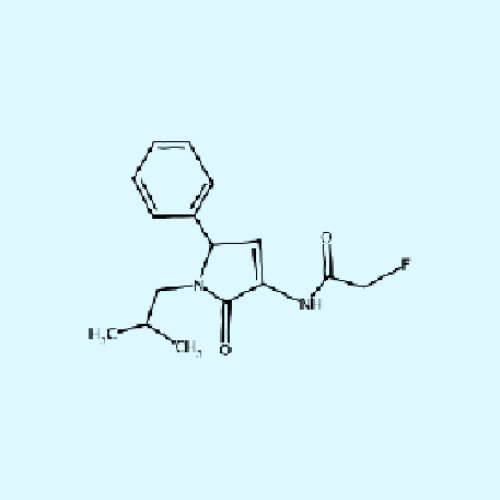 CC(C)CN1C(=O)C(NC(=O)CF)=CC1c1ccccc1